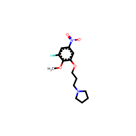 COc1c(F)cc([N+](=O)[O-])cc1OCCCN1CCCC1